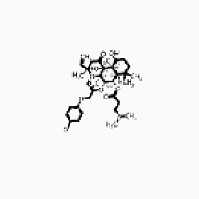 C=C[C@@]1(C)CC(=O)[C@]2(O)[C@@]3(C)[C@@H](O)CCC(C)(C)[C@@H]3[C@H](OC(=O)CCN(C)C)[C@H](OC(=O)COc3ccc(Cl)cc3)[C@@]2(C)O1